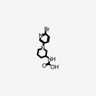 O=C(O)NC1CCCN(c2ccc(Br)nc2)C1